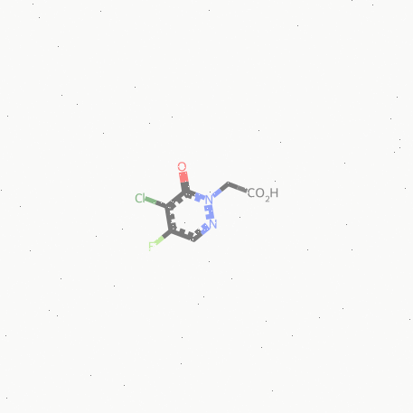 O=C(O)Cn1ncc(F)c(Cl)c1=O